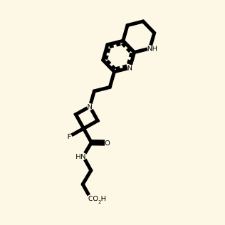 O=C(O)CCNC(=O)C1(F)CN(CCc2ccc3c(n2)NCCC3)C1